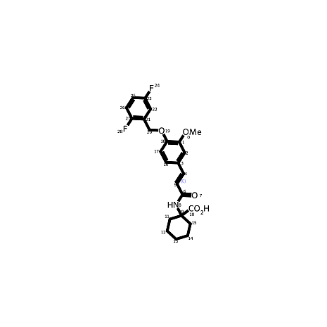 COc1cc(/C=C/C(=O)NC2(C(=O)O)CCCCC2)ccc1OCc1cc(F)ccc1F